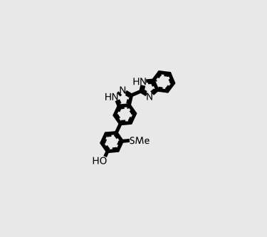 CSc1cc(O)ccc1-c1ccc2c(-c3nc4ccccc4[nH]3)n[nH]c2c1